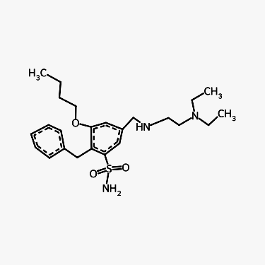 CCCCOc1cc(CNCCN(CC)CC)cc(S(N)(=O)=O)c1Cc1ccccc1